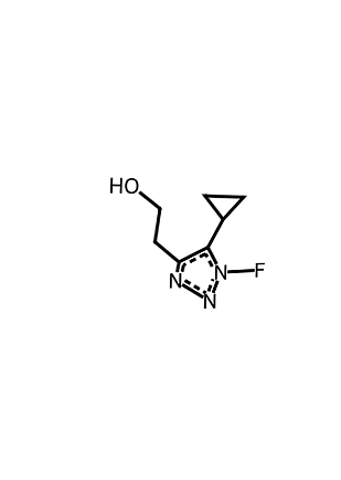 OCCc1nnn(F)c1C1CC1